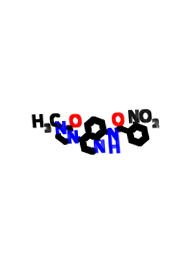 CN1CCN(c2ccnc3c(NC(=O)c4ccccc4[N+](=O)[O-])cccc23)C1=O